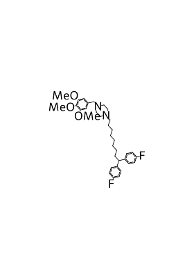 COc1cc(CN2CCN(CCCCCCCCC(c3ccc(F)cc3)c3ccc(F)cc3)CC2)cc(OC)c1OC